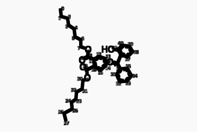 CCCCCCCCOC(=O)c1ccccc1C(=O)OCCCCCCCC.O=C(c1ccccc1)c1ccccc1O